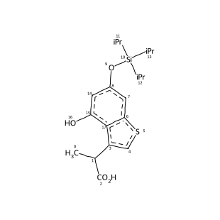 CC(C(=O)O)c1csc2cc(O[Si](C(C)C)(C(C)C)C(C)C)cc(O)c12